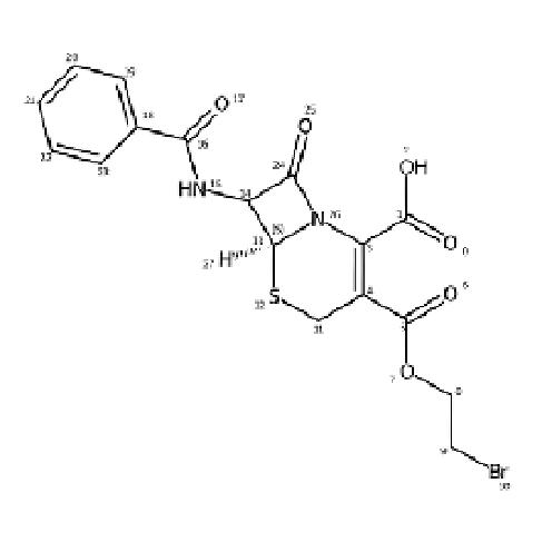 O=C(O)C1=C(C(=O)OCCBr)CS[C@H]2C(NC(=O)c3ccccc3)C(=O)N12